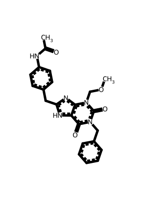 COCn1c(=O)n(Cc2ccccc2)c(=O)c2[nH]c(Cc3ccc(NC(C)=O)cc3)nc21